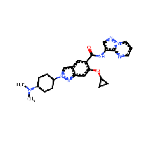 CN(C)[C@H]1CC[C@@H](n2cc3cc(C(=O)Nc4cnn5cccnc45)c(OC4CC4)cc3n2)CC1